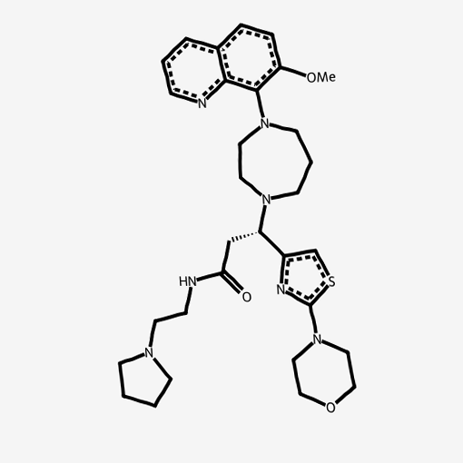 COc1ccc2cccnc2c1N1CCCN([C@@H](CC(=O)NCCN2CCCC2)c2csc(N3CCOCC3)n2)CC1